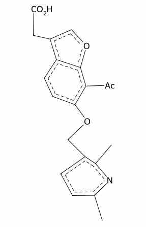 CC(=O)c1c(OCc2ccc(C)nc2C)ccc2c(CC(=O)O)coc12